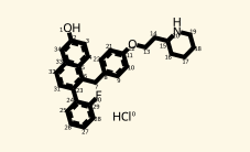 Cl.Oc1ccc2c(Cc3ccc(OCCC4CCCCN4)cc3)c(-c3ccccc3F)ccc2c1